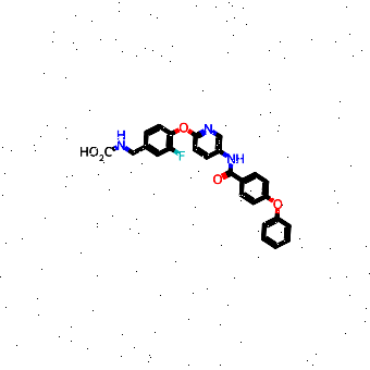 O=C(O)NCc1ccc(Oc2ccc(NC(=O)c3ccc(Oc4ccccc4)cc3)cn2)c(F)c1